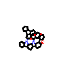 c1ccc2c(c1)-c1cccc3cc(-n4c5ccccc5c5ccc6c7ccc8oc9ccccc9c8c7n(-c7cccc8ccccc78)c6c54)cc-2c13